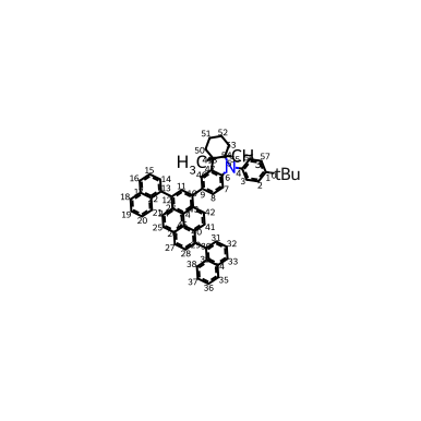 CC(C)(C)c1ccc(N2c3ccc(-c4cc(-c5cccc6ccccc56)c5ccc6ccc(-c7cccc8ccccc78)c7ccc4c5c67)cc3C3(C)CCCCC23C)cc1